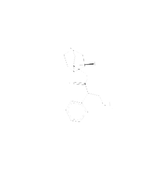 NCC(C(=O)O[C@H]1CN2CCC1CC2)c1ccccc1